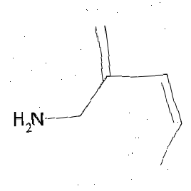 C=C(/C=C\C)CN